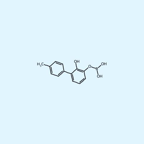 Cc1ccc(-c2cccc(OB(O)O)c2O)cc1